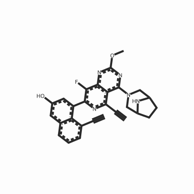 C#Cc1cccc2cc(O)cc(-c3nc(C#C)c4c(N5CC6CCC(C5)N6)nc(OC)nc4c3F)c12